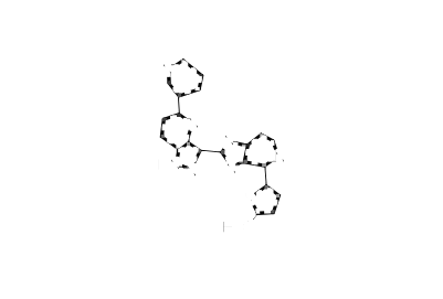 Cc1ccc(-c2nccc3[nH]c(-c4n[nH]c5ccc(-c6cccnc6)nc45)nc23)s1